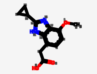 COc1ccc(CC(=O)O)c2[nH]c(C3CC3)nc12